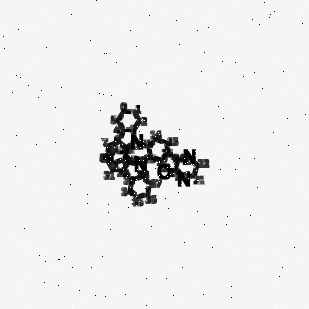 c1ccc2c(c1)c1ccccc1n2-c1ccc2c(oc3nccnc32)c1-n1c2ccccc2c2ccccc21